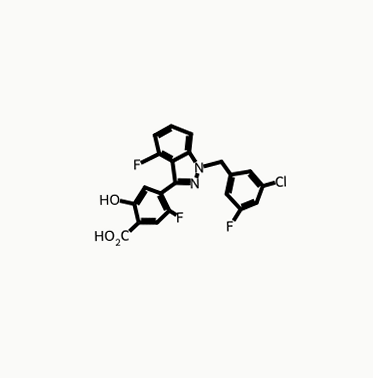 O=C(O)c1cc(F)c(-c2nn(Cc3cc(F)cc(Cl)c3)c3cccc(F)c23)cc1O